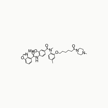 COc1cc(C(=O)N(C)c2ccc(C)cc2OCCCCCC(=O)N2CCN(C)CC2)ccc1NC(=O)c1cccc2ocnc12